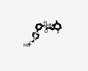 Cc1ccc(F)c2cc(C(=O)Nc3cccc(N4CCN(CCO)CC4)c3)[nH]c12